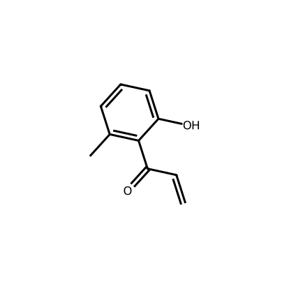 C=CC(=O)c1c(C)cccc1O